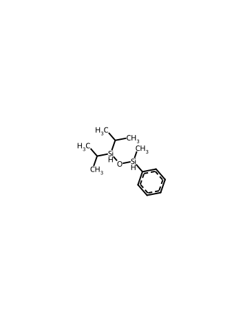 CC(C)[SiH](O[SiH](C)c1ccccc1)C(C)C